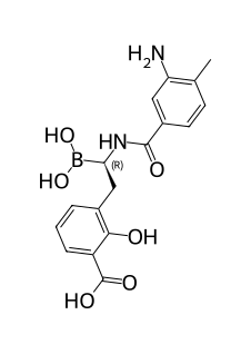 Cc1ccc(C(=O)N[C@@H](Cc2cccc(C(=O)O)c2O)B(O)O)cc1N